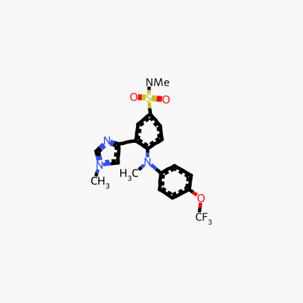 CNS(=O)(=O)c1ccc(N(C)c2ccc(OC(F)(F)F)cc2)c(-c2cn(C)cn2)c1